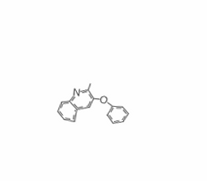 Cc1nc2ccccc2cc1Oc1ccccc1